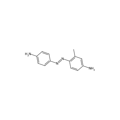 Cc1cc(N)ccc1N=Nc1ccc(N)cc1